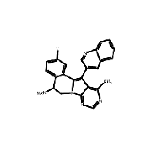 CNC1Cn2c(c(-c3cnc4ccccc4c3)c3c(N)ncnc32)-c2cc(F)ccc21